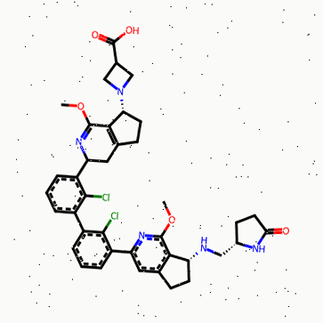 COC1=NC(c2cccc(-c3cccc(-c4cc5c(c(OC)n4)[C@H](NC[C@@H]4CCC(=O)N4)CC5)c3Cl)c2Cl)CC2=C1[C@H](N1CC(C(=O)O)C1)CC2